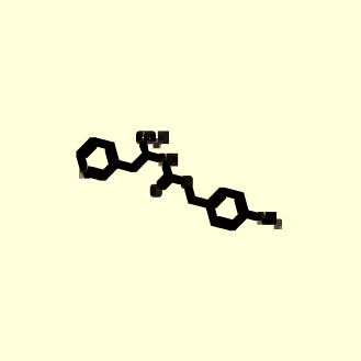 Nc1ccc(COC(=O)N[C@@H](Cc2cccnc2)C(=O)O)cc1